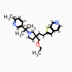 CCOCC1(CCc2cc3ccncc3s2)CCN(C(C)(C)c2ccc(C)nc2)C1